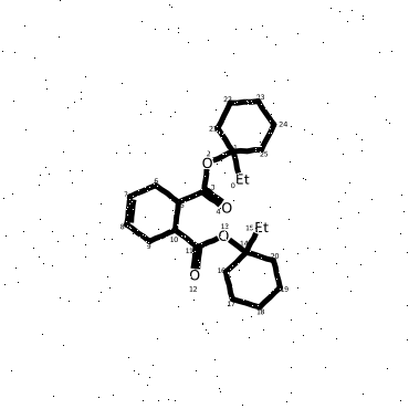 CCC1(OC(=O)C2CC=CCC2C(=O)OC2(CC)CCCCC2)CCCCC1